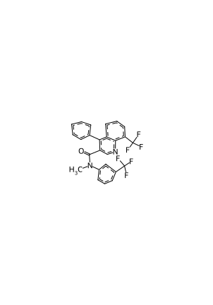 CN(C(=O)c1cnc2c(C(F)(F)F)cccc2c1-c1ccccc1)c1cccc(C(F)(F)F)c1